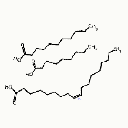 CCCCCCCC/C=C\CCCCCCCC(=O)O.CCCCCCCCC(=O)O.CCCCCCCCCCC(=O)O